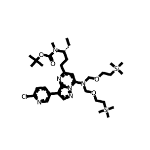 CC[C@H](CCc1cc(N(COCC[Si](C)(C)C)COCC[Si](C)(C)C)n2ncc(-c3ccc(Cl)nc3)c2n1)N(C)C(=O)OC(C)(C)C